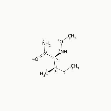 CC[C@@H](C)[C@H](NOC)C(N)=O